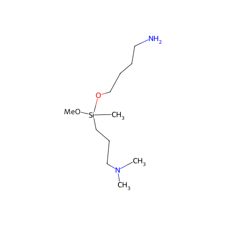 CO[Si](C)(CCCN(C)C)OCCCCN